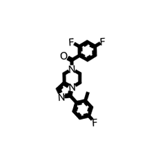 Cc1cc(F)ccc1-c1ncc2n1CCN(C(=O)c1ccc(F)cc1F)C2